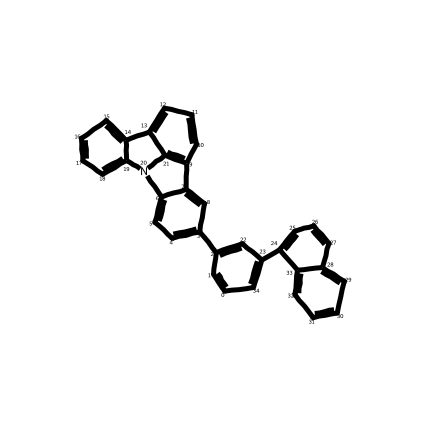 c1cc(-c2ccc3c(c2)c2cccc4c5ccccc5n3c42)cc(-c2cccc3ccccc23)c1